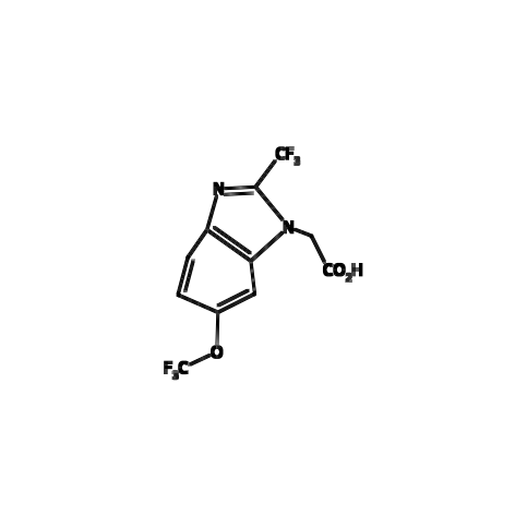 O=C(O)Cn1c(C(F)(F)F)nc2ccc(OC(F)(F)F)cc21